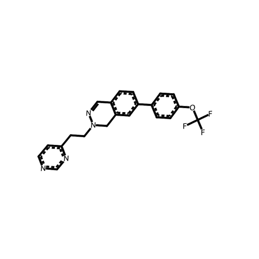 FC(F)(F)Oc1ccc(-c2ccc3c(c2)CN(CCc2ccncn2)N=C3)cc1